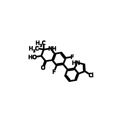 CC1(C)Nc2cc(F)c(-c3cccc4c(Cl)c[nH]c34)c(F)c2C(=O)C1O